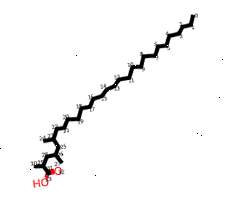 CCCCCCCCCCCCCCCCCCCCCCCC(C)CC(C)CC(C)C(=O)O